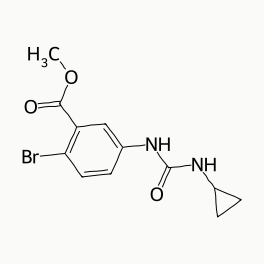 COC(=O)c1cc(NC(=O)NC2CC2)ccc1Br